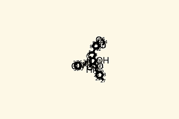 C=c1/c(=C\C(=C/C)c2ccc3c(c2)OCCO3)c(O)c(C(=O)NC2CCC(C)CC2)c(=O)n1CCN1CCOCC1